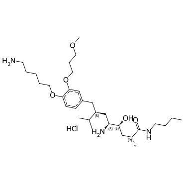 CCCCNC(=O)[C@H](C)C[C@H](O)[C@@H](N)C[C@H](Cc1ccc(OCCCCCN)c(OCCCOC)c1)C(C)C.Cl